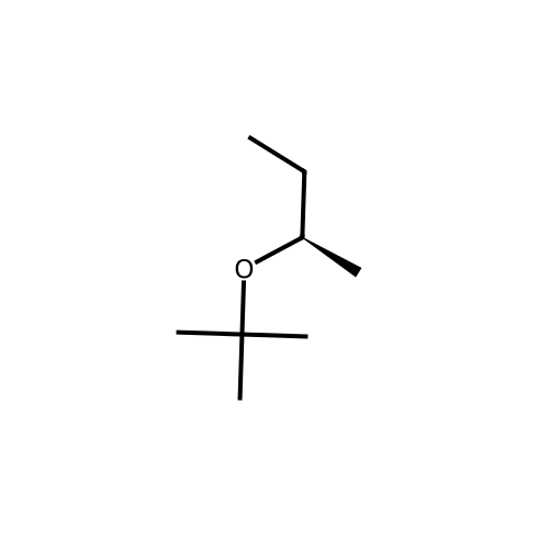 CC[C@@H](C)OC(C)(C)C